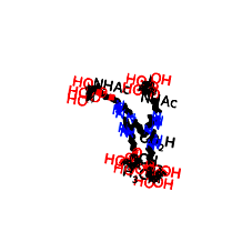 CC(=O)N[C@H]1[C@H](OCCCCn2cc(CN(CCCCC(C(=O)O)N(Cc3cn(CCCCO[C@@H]4O[C@H](CO)[C@H](O)[C@H](O)[C@H]4C)nn3)Cc3cn(CCCCO[C@@H]4O[C@H](CO)[C@H](O)[C@H](O)[C@H]4NC(C)=O)nn3)Cc3cn(CCCCO[C@@H]4O[C@H](CO)[C@H](O)[C@H](O)[C@H]4C)nn3)nn2)O[C@H](CO)[C@H](O)[C@@H]1O